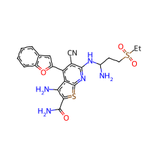 CCS(=O)(=O)CCC(N)Nc1nc2sc(C(N)=O)c(N)c2c(-c2cc3ccccc3o2)c1C#N